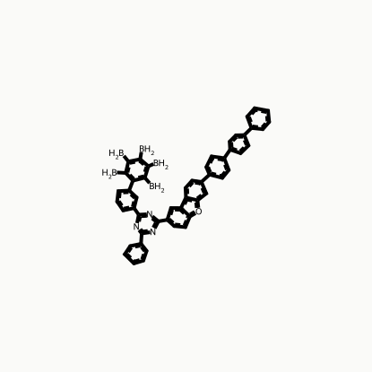 Bc1c(B)c(B)c(-c2cccc(-c3nc(-c4ccccc4)nc(-c4ccc5oc6cc(-c7ccc(-c8ccc(-c9ccccc9)cc8)cc7)ccc6c5c4)n3)c2)c(B)c1B